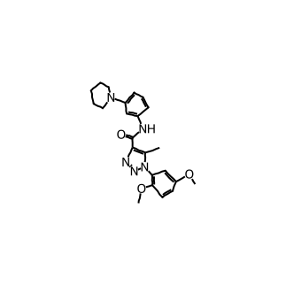 COc1ccc(OC)c(-n2nnc(C(=O)Nc3cccc(N4CCCCC4)c3)c2C)c1